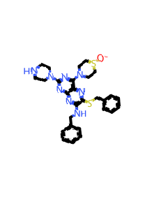 [O-][S+]1CCN(c2nc(N3CCNCC3)nc3nc(NCc4ccccc4)c(SCc4ccccc4)nc23)CC1